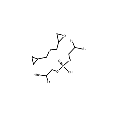 C(OCC1CO1)C1CO1.CCCCC(CC)COP(=O)(O)OCC(CC)CCCC